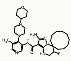 Cc1cncc(NC(=O)c2c(N)nn3c2NCC(F)C32CCCCCCCCC2)c1N1CCN(C2CCOCC2)CC1